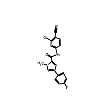 Cn1nc(-c2ccc(F)cc2)cc1C(=O)Nc1ccc(C#N)c(Cl)c1